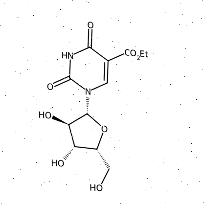 CCOC(=O)c1cn([C@@H]2O[C@H](CO)[C@H](O)[C@H]2O)c(=O)[nH]c1=O